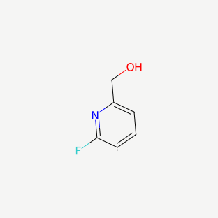 OCc1cc[c]c(F)n1